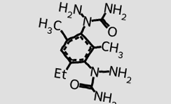 CCc1cc(C)c(N(N)C(N)=O)c(C)c1N(N)C(N)=O